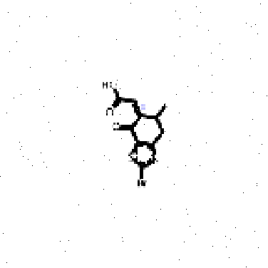 CC1Cc2nc(Br)sc2C(=O)/C1=C\C(=O)O